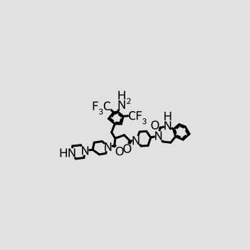 Nc1c(C(F)(F)F)cc(CC(CC(=O)N2CCC(N3CCc4ccccc4NC3=O)CC2)C(=O)N2CCC(N3CCNCC3)CC2)cc1C(F)(F)F